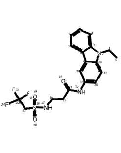 CCn1c2ccccc2c2cc(NC(=O)CCNS(=O)(=O)CC(F)(F)F)ccc21